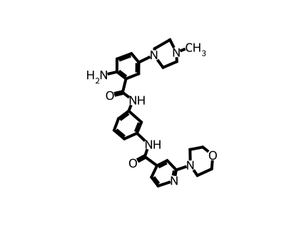 CN1CCN(c2ccc(N)c(C(=O)Nc3cccc(NC(=O)c4ccnc(N5CCOCC5)c4)c3)c2)CC1